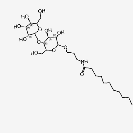 CCCCCCCCCCC(=O)NCCCOC1OC(CO)[C@H](OC2OC(CO)[C@H](O)[C@@H](O)[C@H]2O)[C@@H](O)[C@H]1O